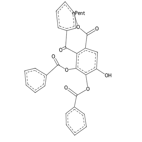 CCCCCOC(=O)c1cc(O)c(OC(=O)c2ccccc2)c(OC(=O)c2ccccc2)c1C(=O)c1ccccc1